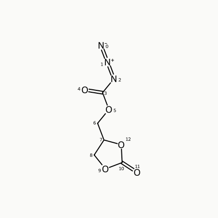 [N-]=[N+]=NC(=O)OCC1COC(=O)O1